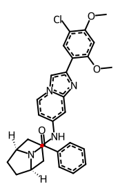 COc1cc(OC)c(-c2cn3ccc(NC4C[C@H]5CC[C@@H](C4)N5C(=O)c4ccccc4)cc3n2)cc1Cl